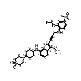 CP(C)(=O)c1ccc(NCC#Cc2sc3c(NC4CCC(N5CCS(=O)(=O)CC5)CC4)cccc3c2CC(F)(F)F)c(OCF)c1